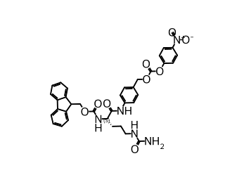 NC(=O)NCCC[C@H](NC(=O)OCC1c2ccccc2-c2ccccc21)C(=O)Nc1ccc(COC(=O)Oc2ccc([N+](=O)[O-])cc2)cc1